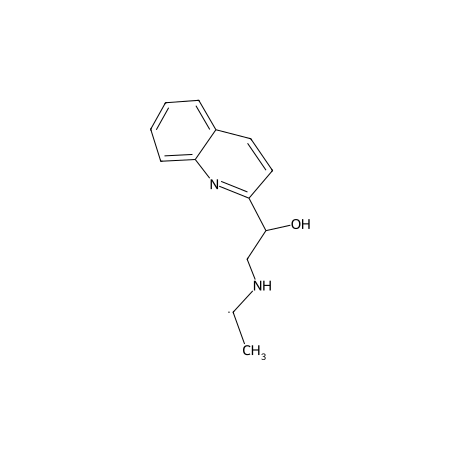 C[CH]NCC(O)c1ccc2ccccc2n1